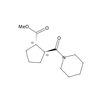 COC(=O)[C@H]1CCC[C@@H]1C(=O)N1CCCCC1